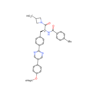 CCCCCCCOc1ccc(-c2cnc(-c3ccc(C[C@H](NC(=O)c4ccc(C(C)(C)C)cc4)C(=O)N4CC(C(=O)O)C4)cc3)nc2)cc1